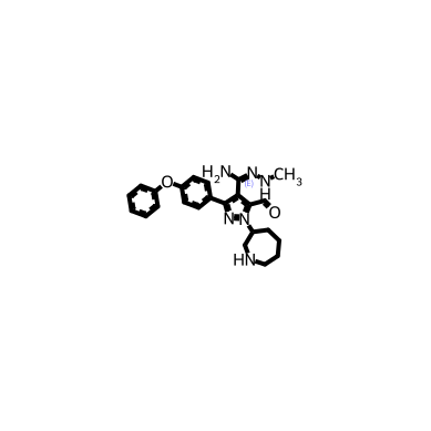 CN/N=C(/N)c1c(-c2ccc(Oc3ccccc3)cc2)nn(C2CCCCNC2)c1C=O